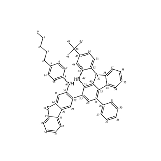 CCCCCc1ccc(Nc2cc3sc4ccccc4c3cc2-c2cc(-c3ccccc3)c3c4ccccc4n4c3c2Bc2cc(C(C)(C)C)ccc2-4)cc1